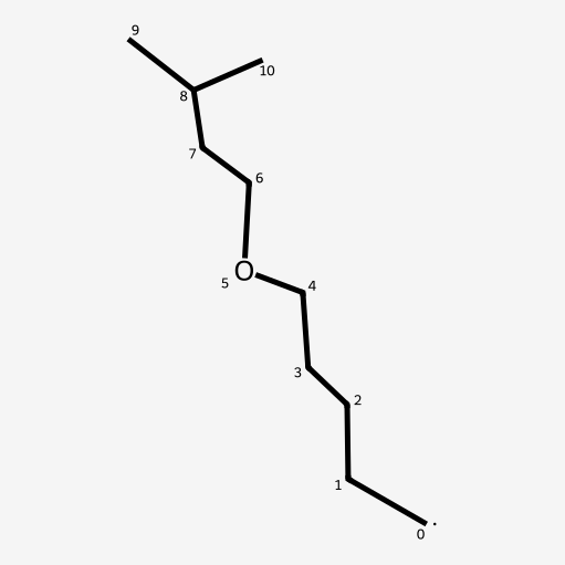 [CH2]CCCCOCCC(C)C